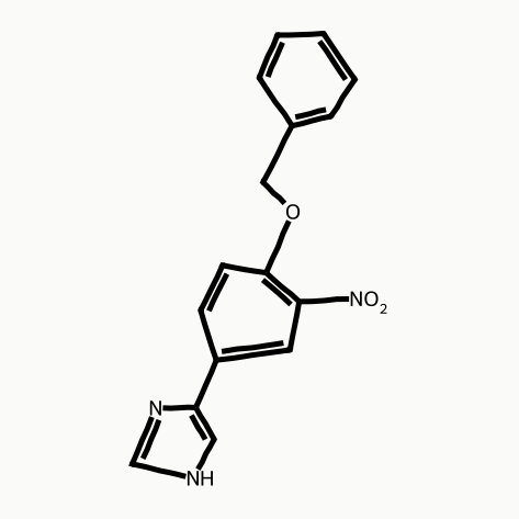 O=[N+]([O-])c1cc(-c2c[nH]cn2)ccc1OCc1ccccc1